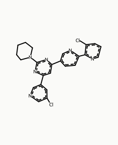 Clc1cncc(-c2cc(-c3ccc(-c4ncccc4Cl)nc3)nc(N3CCCCC3)n2)c1